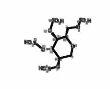 O=S(=O)(O)OC[C@H]1O[CH][C@@H](OS(=O)(=O)O)[C@H](OS(=O)(=O)O)[C@H]1OS(=O)(=O)O